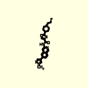 Cn1cc(-c2ccc3cnc(NC(=O)c4coc(C5CCN(CCF)CC5)n4)cc3c2)cn1